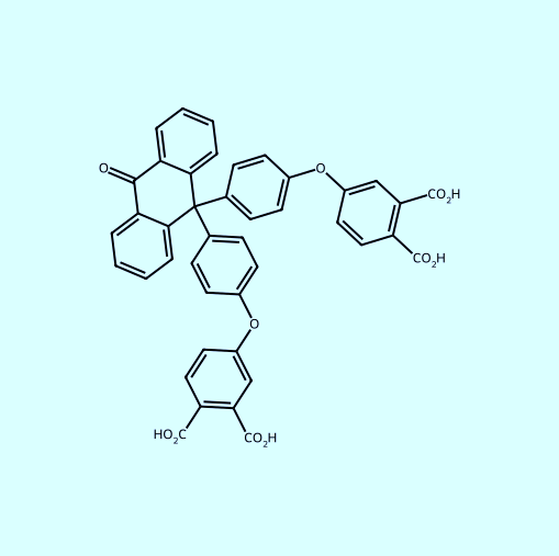 O=C(O)c1ccc(Oc2ccc(C3(c4ccc(Oc5ccc(C(=O)O)c(C(=O)O)c5)cc4)c4ccccc4C(=O)c4ccccc43)cc2)cc1C(=O)O